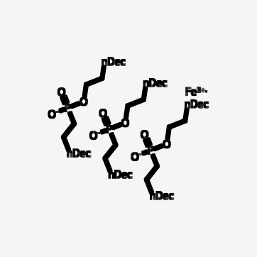 CCCCCCCCCCCCOP(=O)([O-])CCCCCCCCCCCC.CCCCCCCCCCCCOP(=O)([O-])CCCCCCCCCCCC.CCCCCCCCCCCCOP(=O)([O-])CCCCCCCCCCCC.[Fe+3]